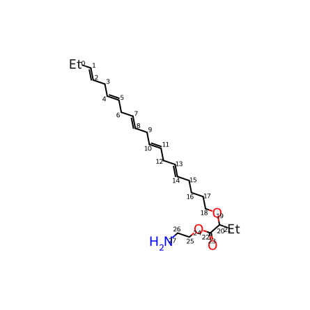 CCC=CCC=CCC=CCC=CCC=CCCCCOC(CC)C(=O)OCCN